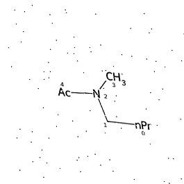 CCCCN(C)C(C)=O